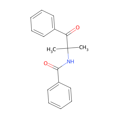 CC(C)(NC(=O)c1ccccc1)C(=O)c1ccccc1